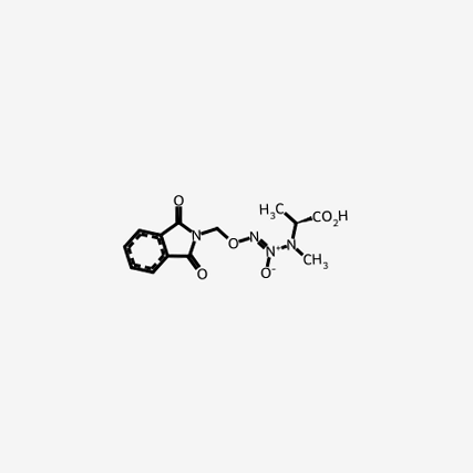 C[C@@H](C(=O)O)N(C)[N+]([O-])=NOCN1C(=O)c2ccccc2C1=O